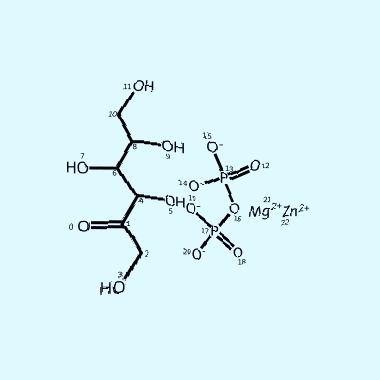 O=C(CO)C(O)C(O)C(O)CO.O=P([O-])([O-])OP(=O)([O-])[O-].[Mg+2].[Zn+2]